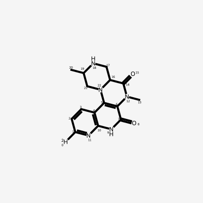 [2H]c1ccc2c3c(c(=O)[nH]c2n1)N(C)C(=O)C1CNC(C)CN31